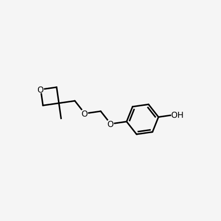 CC1(COCOc2ccc(O)cc2)COC1